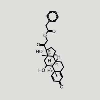 C[C@]12C=CC(=O)C=C1CC[C@@H]1[C@@H]2C(O)C[C@@]2(C)[C@H]1CC[C@]2(O)C(=O)COC(=O)Cc1ccccc1